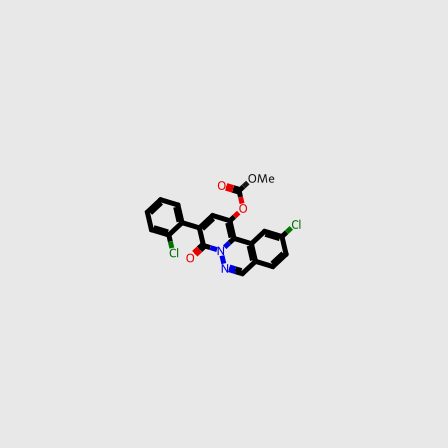 COC(=O)Oc1cc(-c2ccccc2Cl)c(=O)n2ncc3ccc(Cl)cc3c12